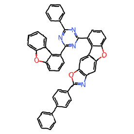 c1ccc(-c2ccc(-c3nc4cc5oc6cccc(-c7nc(-c8ccccc8)nc(-c8cccc9oc%10ccccc%10c89)n7)c6c5cc4o3)cc2)cc1